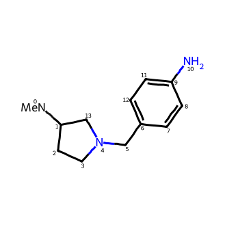 CNC1CCN(Cc2ccc(N)cc2)C1